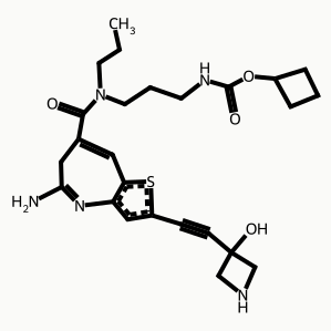 CCCN(CCCNC(=O)OC1CCC1)C(=O)C1=Cc2sc(C#CC3(O)CNC3)cc2N=C(N)C1